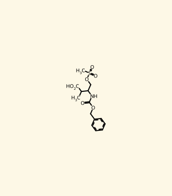 CC(C(=O)O)C(COS(C)(=O)=O)NC(=O)OCc1ccccc1